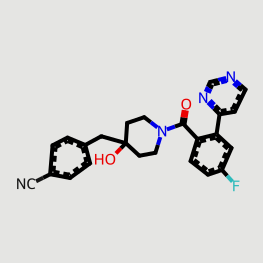 N#Cc1ccc(CC2(O)CCN(C(=O)c3ccc(F)cc3-c3ccncn3)CC2)cc1